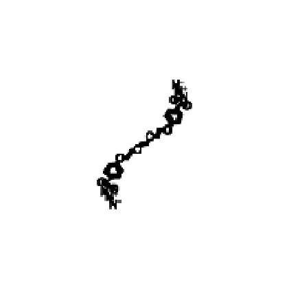 [N-]=[N+]=NS(=O)(=O)c1ccc(OCCOCCOCCOc2ccc(S(=O)(=O)N=[N+]=[N-])cc2)cc1